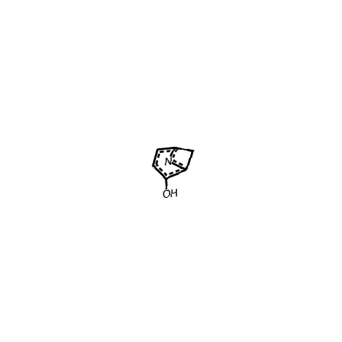 Oc1ccc2nc1C2